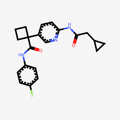 O=C(CC1CC1)Nc1ccc(C2(C(=O)Nc3ccc(F)cc3)CCC2)cn1